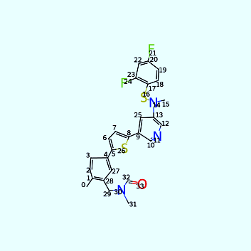 Cc1ccc(-c2ccc(-c3cncc(N(C)Sc4ccc(F)cc4F)c3)s2)cc1CN(C)C=O